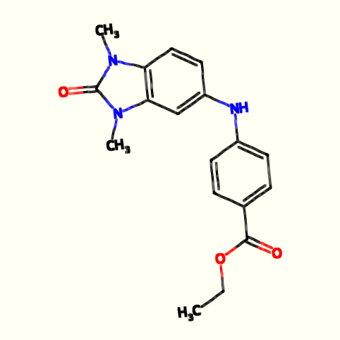 CCOC(=O)c1ccc(Nc2ccc3c(c2)n(C)c(=O)n3C)cc1